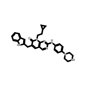 O=c1c(Cc2cc3ccccc3[nH]2)cc2cnc(Nc3ccc(N4CCNCC4)cc3)nc2n1CCC1CC1